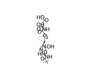 CC(C)(C)C(=O)Nc1cc2c([nH]1)N=CN(C#Cc1cc(C(=O)N[C@H](CCC(=O)O)C(=O)O)cs1)C2O